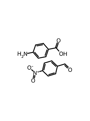 Nc1ccc(C(=O)O)cc1.O=Cc1ccc([N+](=O)[O-])cc1